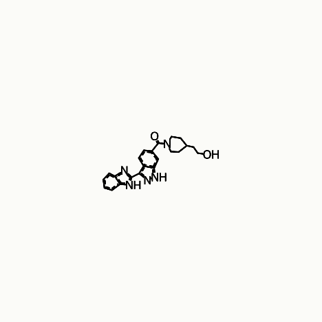 O=C(c1ccc2c(-c3nc4ccccc4[nH]3)n[nH]c2c1)N1CCC(CCO)CC1